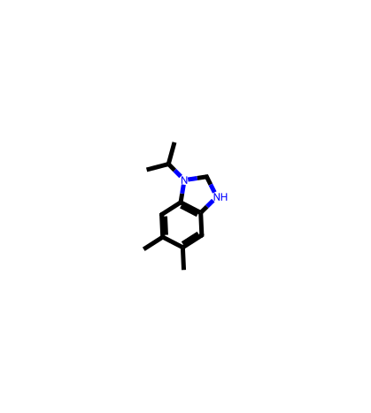 Cc1cc2c(cc1C)N(C(C)C)CN2